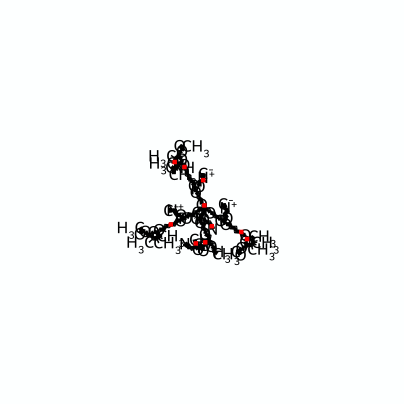 [C-]#[N+]CCOP(OCCCCCCO[C@@H]1OC(COC(C)=O)[C@H](C)[C@H](C)C1C)OCCCOCC(COCCCOP(OCCCCCCO[C@@H]1OC(COC(C)=O)[C@H](C)[C@H](C)C1C)OCC[N+]#[C-])(COCCCOP(OCCCCCCO[C@@H]1OC(COC(C)=O)[C@H](C)[C@H](C)C1NC(C)=O)OCC[N+]#[C-])COP(=O)(OCCC#N)OCCCOCC(COCCC)COP(=O)(OCC)OCCC#N